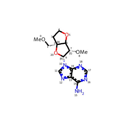 COC[C@]12CCOC1[C@H](OC)[C@H](n1cnc3c(N)ncnc31)O2